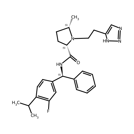 CC(C)c1ccc([C@@H](NC(=O)[C@@H]2CC[C@H](C)N2CCc2cnn[nH]2)c2ccccc2)cc1F